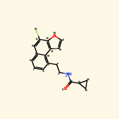 O=C(NCCc1cccc2cc(F)c3occc3c12)C1CC1